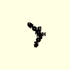 CO/N=C(\C)c1ccc(Oc2nc3nc(-c4ccc(N5CCOCC5)cc4)c(Cl)cc3[nH]2)cc1